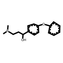 CN(C)CCC(O)c1ccc(Oc2ccccc2)cc1